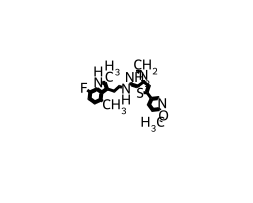 C=C/N=C1/C=C(c2ccc(OC)nc2)S/C1=C(/N)NCCc1c(C)[nH]c2c(F)ccc(C)c12